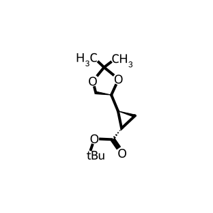 CC(C)(C)OC(=O)[C@H]1C[C@@H]1[C@H]1COC(C)(C)O1